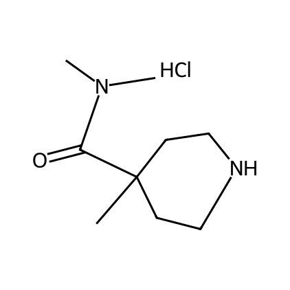 CN(C)C(=O)C1(C)CCNCC1.Cl